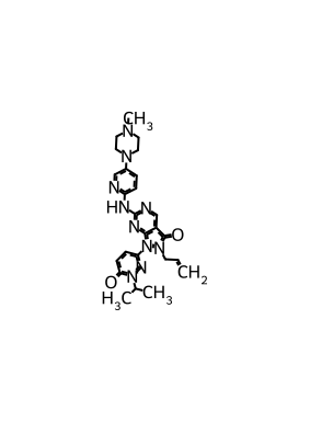 C=CCn1c(=O)c2cnc(Nc3ccc(N4CCN(C)CC4)cn3)nc2n1-c1ccc(=O)n(C(C)C)n1